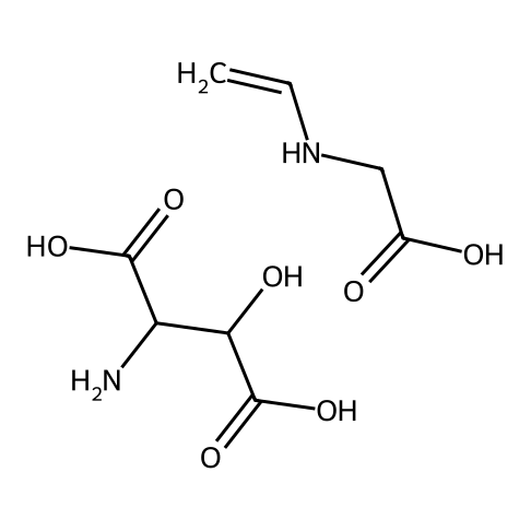 C=CNCC(=O)O.NC(C(=O)O)C(O)C(=O)O